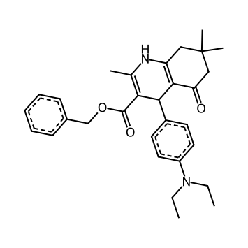 CCN(CC)c1ccc(C2C(C(=O)OCc3ccccc3)=C(C)NC3=C2C(=O)CC(C)(C)C3)cc1